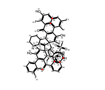 Cc1c(F)cccc1C1=C(C(=O)c2cccc(O)c2F)[C@H](C2CCCNC2)[C@@](CCN(C)S(C)(=O)=O)(C(=O)[C@@]2(CCN(C)S(C)(=O)=O)C(F)=C(O)C(c3cccc(F)c3C)=C(C(=O)c3cccc(O)c3F)[C@@H]2C2CCCNC2)C(F)=C1O